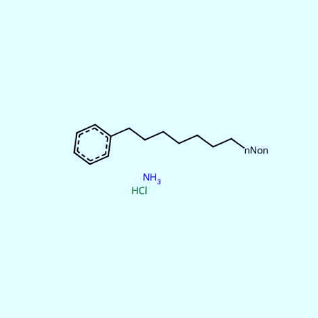 CCCCCCCCCCCCCCCCc1ccccc1.Cl.N